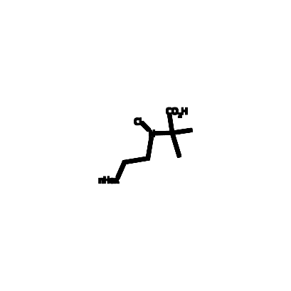 CCCCCCCCN(Cl)C(C)(C)C(=O)O